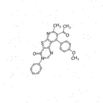 COc1ccc(-c2c(C(C)=O)c(C)nc3sc4c(=O)n(-c5ccccc5)cnc4c23)cc1